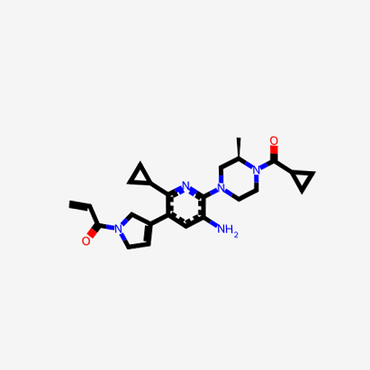 C=CC(=O)N1CC=C(c2cc(N)c(N3CCN(C(=O)C4CC4)[C@H](C)C3)nc2C2CC2)C1